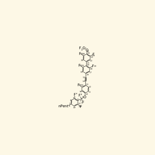 CCCCCc1cc(F)c(C(F)(F)Oc2ccc(C#Cc3cc(F)c(-c4cc(F)c(OC(F)(F)F)c(F)c4)c(F)c3)c(F)c2)c(F)c1